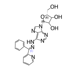 OC[C@H]1O[C@@H](n2cnc3c(N/N=C(\c4ccccc4)c4ccccn4)ncnc32)C(O)C1O